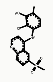 Cc1ccc(Nc2ccnc3ccc(S(C)(=O)=O)cc23)c(Cl)c1O